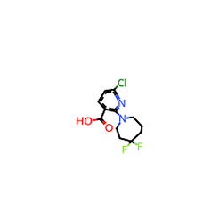 O=C(O)c1ccc(Cl)nc1N1CCCC(F)(F)CC1